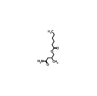 CCCCCC(=O)OCC(C)CC(N)=O